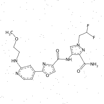 COCCNc1cc(-c2nc(C(=O)Nc3cn(CC(F)F)nc3C(N)=O)co2)ccn1